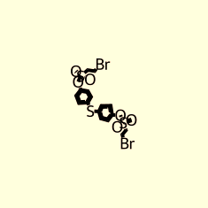 O=S(=O)(CCBr)Oc1ccc(Sc2ccc(OS(=O)(=O)CCBr)cc2)cc1